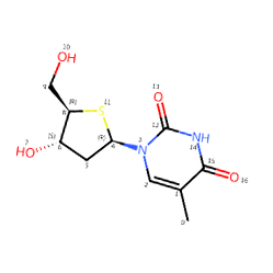 Cc1cn([C@H]2C[C@H](O)[C@@H](CO)S2)c(=O)[nH]c1=O